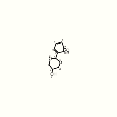 OC1COC(C2=CC=CC3OC23)OC1